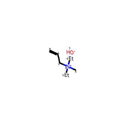 C=CC[N+](C)(CC)CC.[OH-]